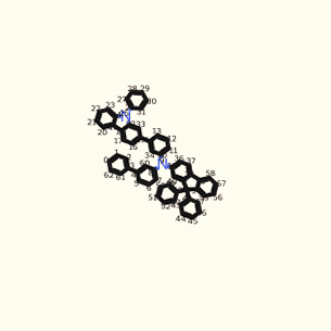 c1ccc(-c2cccc(N(c3cccc(-c4ccc5c6ccccc6n(-c6ccccc6)c5c4)c3)c3ccc4c(c3)C(c3ccccc3)(c3ccccc3)c3ccccc3-4)c2)cc1